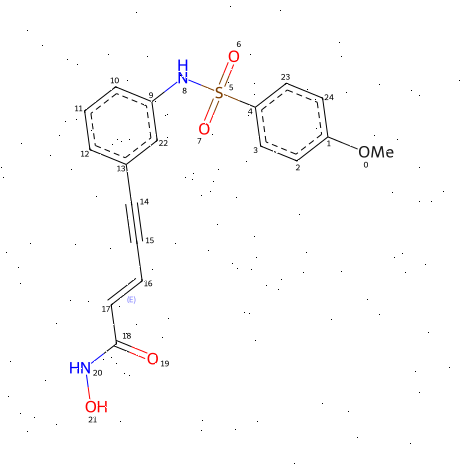 COc1ccc(S(=O)(=O)Nc2cccc(C#C/C=C/C(=O)NO)c2)cc1